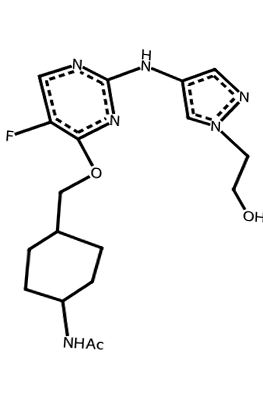 CC(=O)NC1CCC(COc2nc(Nc3cnn(CCO)c3)ncc2F)CC1